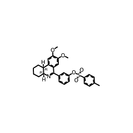 COc1cc2c(cc1OC)[C@H]1CCCC[C@H]1N=C2c1cccc(OS(=O)(=O)c2ccc(C)cc2)c1